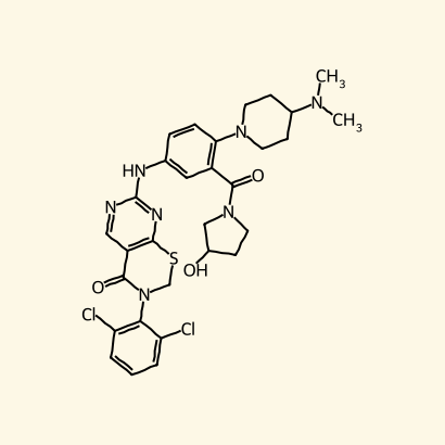 CN(C)C1CCN(c2ccc(Nc3ncc4c(n3)SCN(c3c(Cl)cccc3Cl)C4=O)cc2C(=O)N2CCC(O)C2)CC1